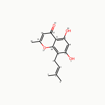 CC(C)=CCc1c(O)cc(O)c2c(=O)cc(C)oc12